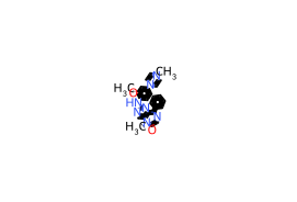 COc1cc(N2CCN(C)CC2)ccc1Nc1ncc2c(n1)C(c1ccccc1)=NCC(=O)N2C